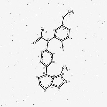 NCc1ccc(F)c(N(C(N)=O)c2ccc(-c3cccc4snc(N)c34)cc2)c1